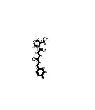 Cc1ccc(CCC(=O)CCC(=O)N2CSC[C@H]2C=O)cc1